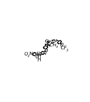 Cn1c(C(=O)N2CCN(Cc3ccc(OCC(F)(F)F)cc3)CC2)cc2ccc(Oc3ccc(NS(=O)(=O)c4ccc([N+](=O)[O-])cc4)cn3)cc21